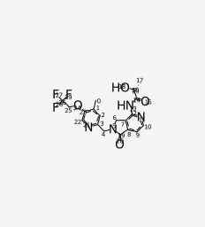 Cc1cc(CN2Cc3c(ccnc3NC(=O)[C@@H](C)O)C2=O)ncc1OCC(F)(F)F